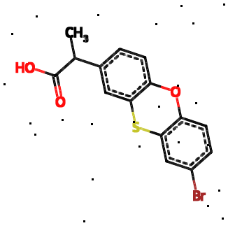 CC(C(=O)O)c1ccc2c(c1)Sc1cc(Br)ccc1O2